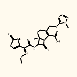 CON=C(C(=O)NC1C(=O)N2C(C(=O)O)=C(CSc3nnnn3C)CS[C@@H]12)c1csc(=O)[nH]1